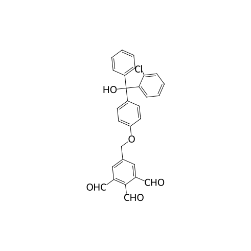 O=Cc1cc(COc2ccc(C(O)(c3ccccc3)c3ccccc3Cl)cc2)cc(C=O)c1C=O